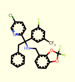 Fc1cc(C(F)(F)F)cc(C(Cc2ccccc2)(NCc2cccc3c2OC(F)(F)O3)c2ccc(Cl)cn2)c1